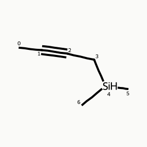 CC#CC[SiH](C)C